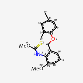 COC(=S)Nc1c(COc2ccc(C)cc2C)cccc1OC